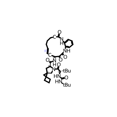 CC(C)(C)NC(=O)N[C@H](C(=O)N1C[C@]2(C[C@H]1C(=O)N[C@@H]1C/C=C/CCCCC(=O)Nc3ccccc3NC(=O)C1=O)CC21CCC1)C(C)(C)C